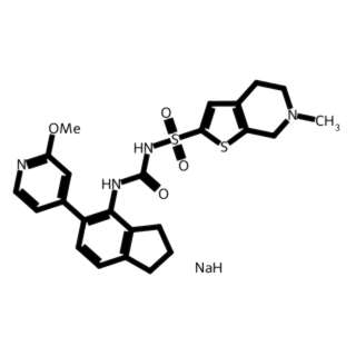 COc1cc(-c2ccc3c(c2NC(=O)NS(=O)(=O)c2cc4c(s2)CN(C)CC4)CCC3)ccn1.[NaH]